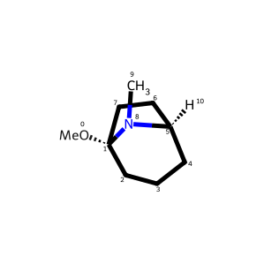 CO[C@]12CCC[C@H](CC1)N2C